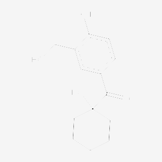 Cc1ccc(C(=O)C2(O)CCCCC2)cc1CO